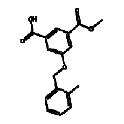 COC(=O)c1cc(OCc2ccccc2C)cc(C(=O)O)c1